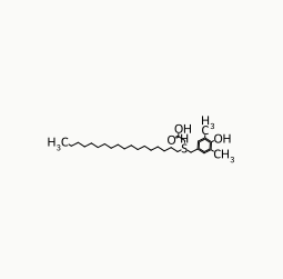 CCCCCCCCCCCCCCCCCC[SH](CC(=O)O)Cc1cc(C)c(O)c(C)c1